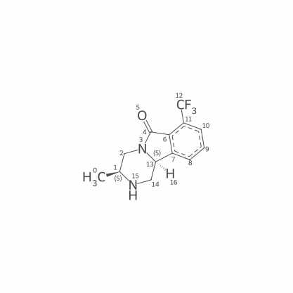 C[C@H]1CN2C(=O)c3c(cccc3C(F)(F)F)[C@H]2CN1